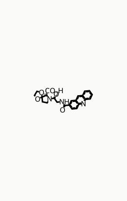 O=C(NCC(=O)N1CCC2(OCCO2)[C@H]1C(=O)O)c1ccc2nc3ccccc3cc2c1